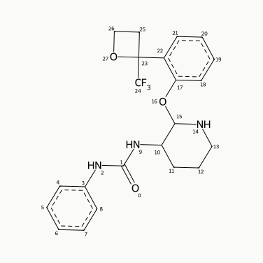 O=C(Nc1ccccc1)NC1CCCNC1Oc1ccccc1C1(C(F)(F)F)CCO1